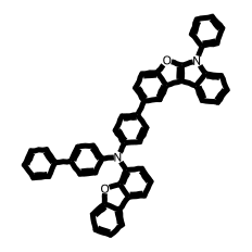 c1ccc(-c2ccc(N(c3ccc(-c4ccc5oc6c(c5c4)c4ccccc4n6-c4ccccc4)cc3)c3cccc4c3oc3ccccc34)cc2)cc1